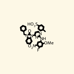 COc1cc(F)c([N+](=O)[O-])cc1Nc1nccc(-n2c(=O)n(Cc3ccccc3)c3ccccc32)n1.Cc1ccc(S(=O)(=O)O)cc1